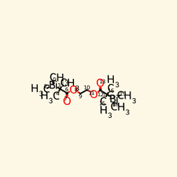 [CH3][Bi]([CH3])[C](C)(C)C(=O)OCCOC(=O)[C](C)(C)[Bi]([CH3])[CH3]